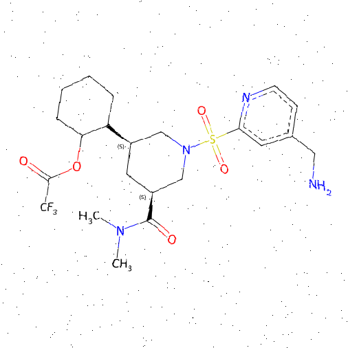 CN(C)C(=O)[C@H]1C[C@@H](C2CCCCC2OC(=O)C(F)(F)F)CN(S(=O)(=O)c2cc(CN)ccn2)C1